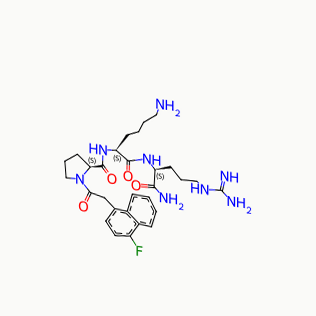 N=C(N)NCCC[C@H](NC(=O)[C@H](CCCCN)NC(=O)[C@@H]1CCCN1C(=O)Cc1ccc(F)c2ccccc12)C(N)=O